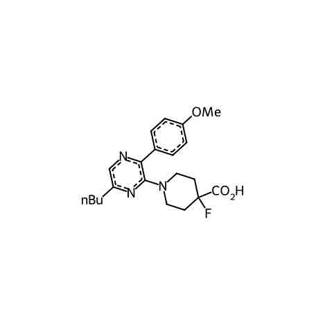 CCCCc1cnc(-c2ccc(OC)cc2)c(N2CCC(F)(C(=O)O)CC2)n1